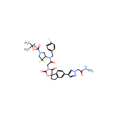 CNC(=O)Cn1cc(-c2ccc3c(c2)CCC32OC(=O)N(CC(=O)N(Cc3ccc(F)cc3)C3CN(C(=O)OC(C)(C)C)CC3(F)F)C2=O)cn1